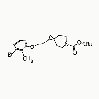 Cc1c(Br)cccc1OCCC1CC12CCN(C(=O)OC(C)(C)C)CC2